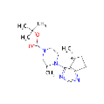 CC1CN(C(=O)OC(C)(C)C)CCN1c1ncnc2c1[C@H](C)CC2